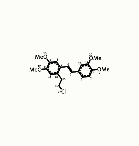 COc1ccc(C=Cc2cc(OC)c(OC)cc2CCCl)cc1OC